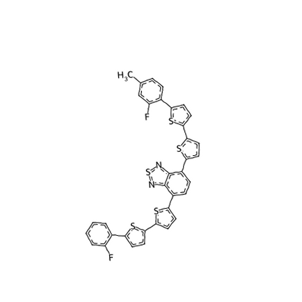 Cc1ccc(-c2ccc(-c3ccc(-c4ccc(-c5ccc(-c6ccc(-c7ccccc7F)s6)s5)c5nsnc45)s3)s2)c(F)c1